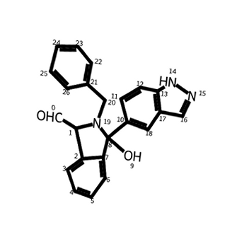 O=CC1c2ccccc2C(O)(c2ccc3[nH]ncc3c2)N1Cc1ccccc1